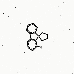 Ic1cccc2c1C1(CCCC1)c1ccccc1-2